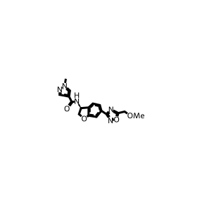 COCc1nc(-c2ccc3c(c2)OC[C@H]3NC(=O)c2cnn(C)c2)no1